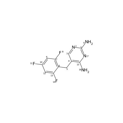 Nc1ncc(Cc2c(F)cc(F)cc2F)c(N)n1